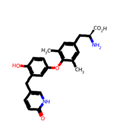 Cc1cc(C[C@H](N)C(=O)O)cc(C)c1Oc1ccc(O)c(Cc2ccc(=O)[nH]c2)c1